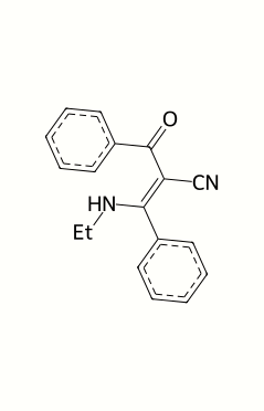 CCNC(=C(C#N)C(=O)c1ccccc1)c1ccccc1